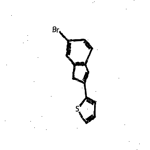 Brc1ccc2c(c1)CC(c1cccs1)=C2